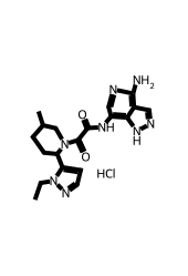 CCn1nccc1C1CCC(C)CN1C(=O)C(=O)Nc1cnc(N)c2cn[nH]c12.Cl